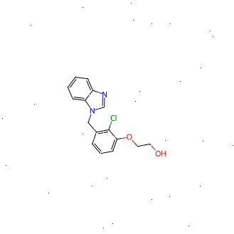 OCCOc1cccc(Cn2cnc3ccccc32)c1Cl